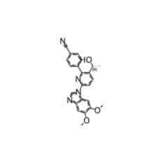 COc1cc2ncn(-c3ccc([C@@H](C)O)c(-c4ccc(C#N)cc4)n3)c2cc1OC